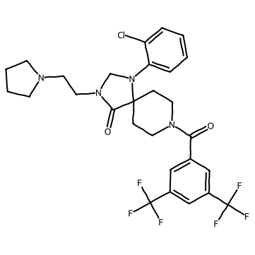 O=C(c1cc(C(F)(F)F)cc(C(F)(F)F)c1)N1CCC2(CC1)C(=O)N(CCN1CCCC1)CN2c1ccccc1Cl